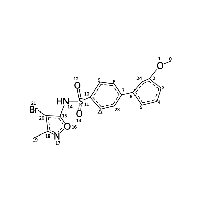 COc1cccc(-c2ccc(S(=O)(=O)Nc3onc(C)c3Br)cc2)c1